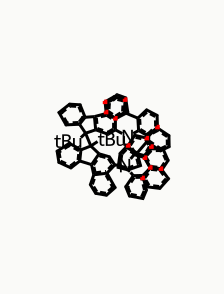 CC(C)(C)C1(C2(C(C)(C)C)c3ccccc3-c3c2cc(N(c2ccccc2-c2ccccc2)c2ccccc2-c2ccccc2)c2ccccc32)c2ccccc2-c2c1cc(N(c1ccccc1-c1ccccc1)c1ccccc1-c1ccccc1)c1ccccc21